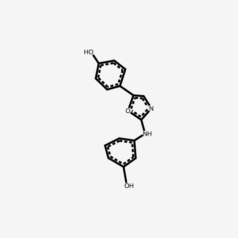 Oc1ccc(-c2cnc(Nc3cccc(O)c3)o2)cc1